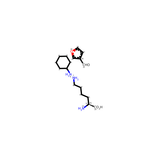 NC1CCCCC1.NCCCC[C@H](N)C(=O)O.O=Cc1ccoc1